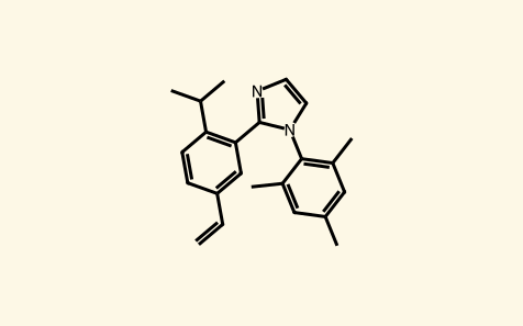 C=Cc1ccc(C(C)C)c(-c2nccn2-c2c(C)cc(C)cc2C)c1